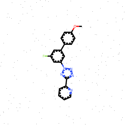 COc1ccc(-c2cc(F)cc(-n3nnc(-c4ccccn4)n3)c2)cc1